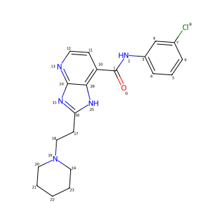 O=C(Nc1cccc(Cl)c1)c1ccnc2nc(CCN3CCCCC3)[nH]c12